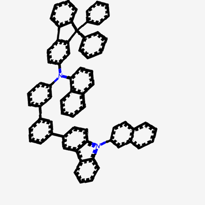 c1ccc(C2(c3ccccc3)c3ccccc3-c3ccc(N(c4cccc(-c5cccc(-c6ccc7c(c6)c6ccccc6n7-c6ccc7ccccc7c6)c5)c4)c4cccc5ccccc45)cc32)cc1